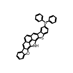 c1ccc(N(c2ccccc2)c2ccc3sc4c(cc5ccc6cc7c8ccccc8oc7c7[nH]c4c5c67)c3c2)cc1